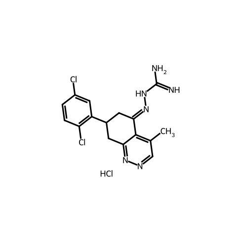 Cc1cnnc2c1C(=NNC(=N)N)CC(c1cc(Cl)ccc1Cl)C2.Cl